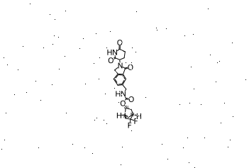 O=C1CCC(N2Cc3ccc(CNC(=O)O[C@@H]4C[C@H]5C[C@@H]4CC5(F)F)cc3C2=O)C(=O)N1